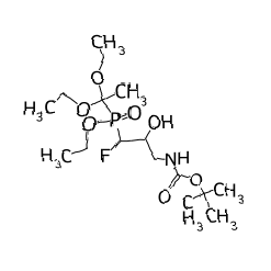 CCOC(C)(OCC)P(=O)(OCC)C(F)C(O)CNC(=O)OC(C)(C)C